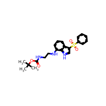 CC(C)(C)OC(=O)NCCNc1cccc2c(S(=O)(=O)c3ccccc3)c[nH]c12